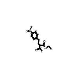 CCOC(=O)C(CCc1ccc([N+](=O)[O-])cc1)C(C)=O